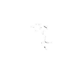 C=CC1(CCCC2=C(C)C(=O)CC2)CCC(C(=O)O)CC1